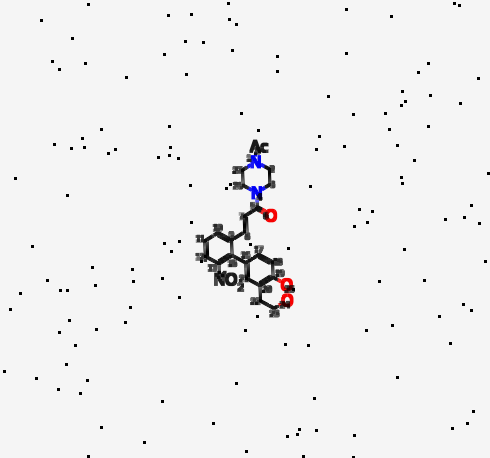 CC(=O)N1CCN(C(=O)/C=C/c2cc[c]c([N+](=O)[O-])c2-c2ccc3c(c2)CCOO3)CC1